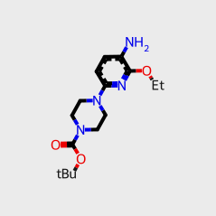 CCOc1nc(N2CCN(C(=O)OC(C)(C)C)CC2)ccc1N